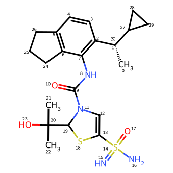 C[C@H](c1ccc2c(c1NC(=O)N1C=C(S(=N)(N)=O)SC1C(C)(C)O)CCC2)C1CC1